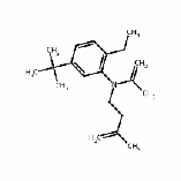 C=C(C)CCN(C(=C)C)c1cc(C(C)(C)C)ccc1CC